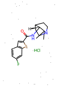 CC1(C)[C@H](NC(=O)c2cc3ccc(F)cc3s2)C2CCN1CC2.Cl